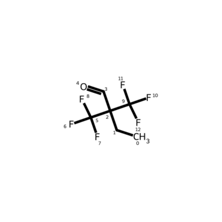 CCC(C=O)(C(F)(F)F)C(F)(F)F